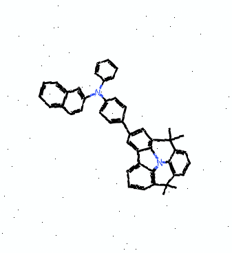 CC1(C)c2cccc3c2-n2c4c1cccc4c1cc(-c4ccc(N(c5ccccc5)c5ccc6ccccc6c5)cc4)cc(c12)C3(C)C